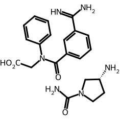 N=C(N)c1cccc(C(=O)N(CC(=O)O)c2ccccc2)c1.NC(=O)N1CC[C@@H](N)C1